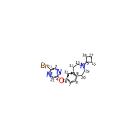 Brc1cnc(Oc2ccc3c(c2)CCN(C2CCC2)CC3)cn1